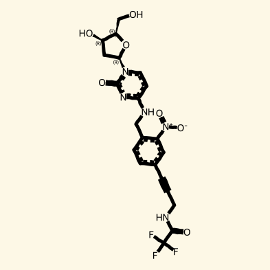 O=C(NCC#Cc1ccc(CNc2ccn([C@H]3C[C@@H](O)[C@@H](CO)O3)c(=O)n2)c([N+](=O)[O-])c1)C(F)(F)F